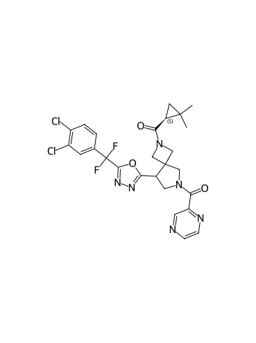 CC1(C)C[C@@H]1C(=O)N1CC2(CN(C(=O)c3cnccn3)CC2c2nnc(C(F)(F)c3ccc(Cl)c(Cl)c3)o2)C1